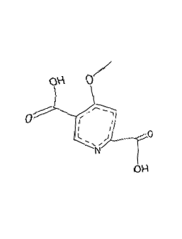 COc1cc(C(=O)O)ncc1C(=O)O